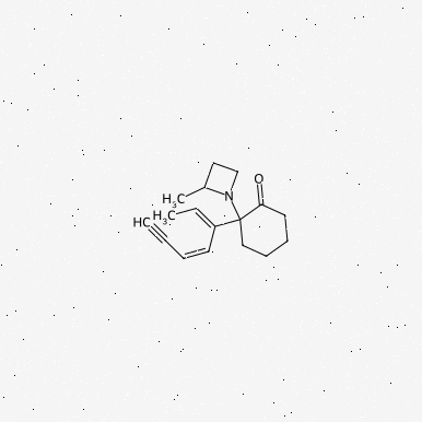 C#C/C=C\C(=C/C)C1(N2CCC2C)CCCCC1=O